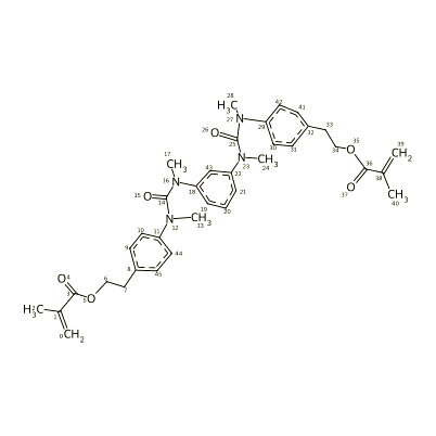 C=C(C)C(=O)OCCc1ccc(N(C)C(=O)N(C)c2cccc(N(C)C(=O)N(C)c3ccc(CCOC(=O)C(=C)C)cc3)c2)cc1